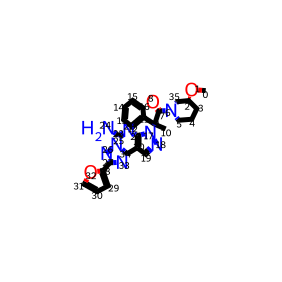 CO[C@H]1CCCN(C(=O)C(C)(c2ccccc2)n2ncc3c2nc(N)n2nc(-c4ccco4)nc32)C1